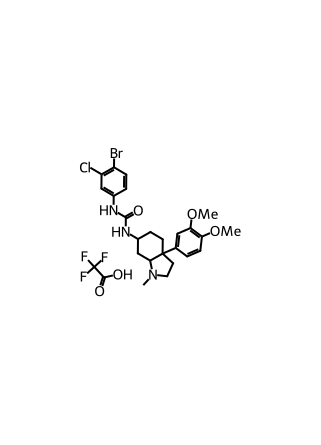 COc1ccc(C23CCC(NC(=O)Nc4ccc(Br)c(Cl)c4)CC2N(C)CC3)cc1OC.O=C(O)C(F)(F)F